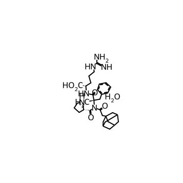 C[C@](Cc1ccccc1)(C(=O)N[C@@H](CCCNC(=N)N)C(=O)O)N(C(=O)CC12CC3CC(CC(C3)C1)C2)C(=O)[C@@H]1CCCN1.O